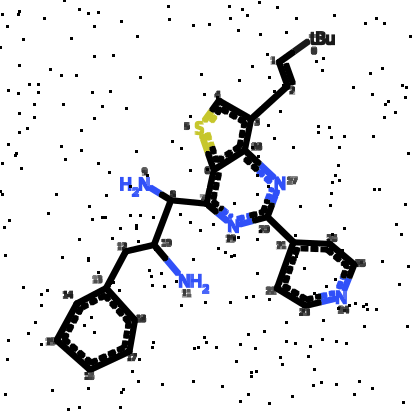 CC(C)(C)C=Cc1csc2c(C(N)C(N)Cc3ccccc3)nc(-c3ccncc3)nc12